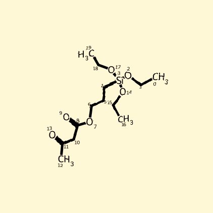 CCO[Si](CCCOC(=O)CC(C)=O)(OCC)OCC